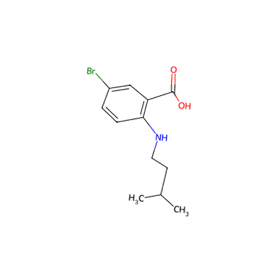 CC(C)CCNc1ccc(Br)cc1C(=O)O